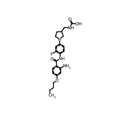 CCCCOc1ccc(C(=O)Nc2ccc(N3CCC(CNC(=O)O)C3)cc2F)c(N)c1